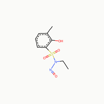 CCN(N=O)S(=O)(=O)c1cccc(C)c1O